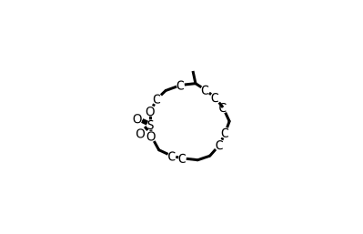 CC1CCCCCCCCCCCOS(=O)(=O)OCCC1